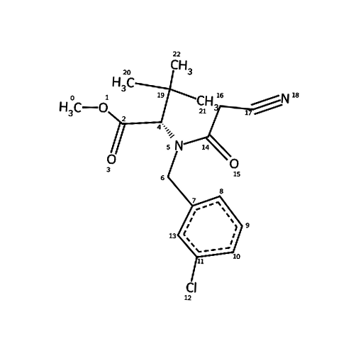 COC(=O)[C@@H](N(Cc1cccc(Cl)c1)C(=O)CC#N)C(C)(C)C